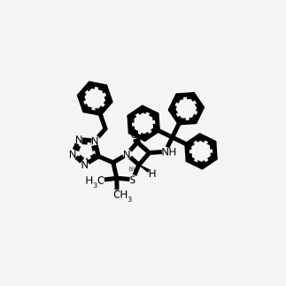 CC1(C)S[C@H]2C(NC(c3ccccc3)(c3ccccc3)c3ccccc3)C(=O)N2C1c1nnnn1Cc1ccccc1